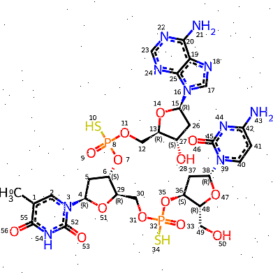 Cc1cn([C@H]2C[C@H](OP(=O)(S)OC[C@H]3O[C@@H](n4cnc5c(N)ncnc54)C[C@@H]3O)[C@@H](COP(=O)(S)O[C@H]3C[C@H](n4ccc(N)nc4=O)O[C@@H]3CO)O2)c(=O)[nH]c1=O